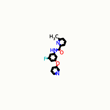 Cc1cccc(C(=O)Nc2cc(F)cc(Oc3cccnc3)c2)n1